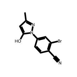 Cc1cc(O)n(-c2ccc(C#N)c(Br)c2)n1